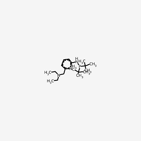 CCN(CC)Cc1cccc(NP(C(C)(C)C)C(C)(C)C)n1